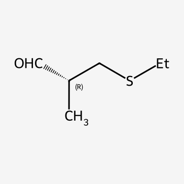 CCSC[C@H](C)C=O